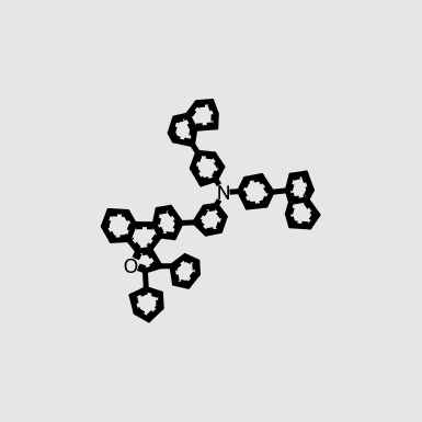 c1ccc(-c2oc3c4ccccc4c4ccc(-c5cccc(N(c6ccc(-c7cccc8ccccc78)cc6)c6ccc(-c7cccc8ccccc78)cc6)c5)cc4c3c2-c2ccccc2)cc1